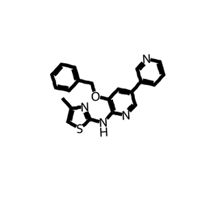 Cc1csc(Nc2ncc(-c3cccnc3)cc2OCc2ccccc2)n1